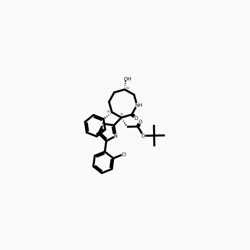 CC(C)(C)OC(=O)C[C@@]1(c2nc(-c3ccccc3Cl)cs2)C(=O)NC[C@@H](O)CC[C@H]1c1ccccc1